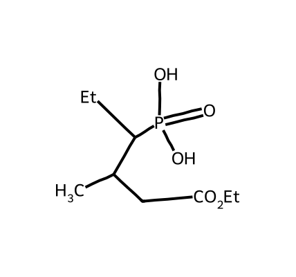 CCOC(=O)CC(C)C(CC)P(=O)(O)O